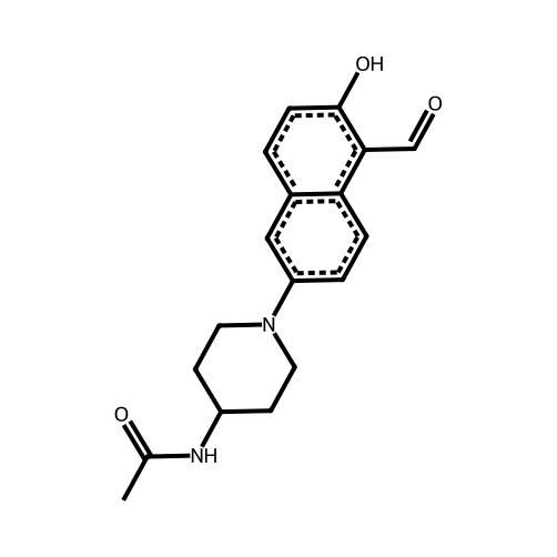 CC(=O)NC1CCN(c2ccc3c(C=O)c(O)ccc3c2)CC1